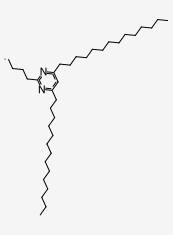 [CH2]CCCc1nc(CCCCCCCCCCCCCC)cc(CCCCCCCCCCCCCC)n1